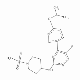 CC(C)Oc1ccc(-c2nc(NC3CCN(S(C)(=O)=O)CC3)ncc2F)cn1